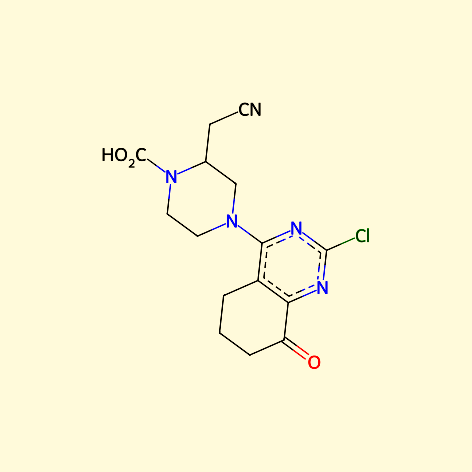 N#CCC1CN(c2nc(Cl)nc3c2CCCC3=O)CCN1C(=O)O